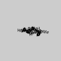 COc1ccccc1C(=O)NCCNc1cccc(N[S+]([O-])c2cc(-c3cccc(CO)c3)ccc2OC)c1